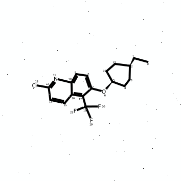 CC[C@H]1CC[C@@H](Oc2ccc3nc(Cl)ccc3c2C(F)(F)F)CC1